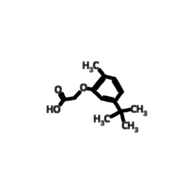 Cc1ccc(C(C)(C)C)cc1OCC(=O)O